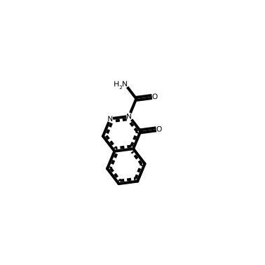 NC(=O)n1ncc2ccccc2c1=O